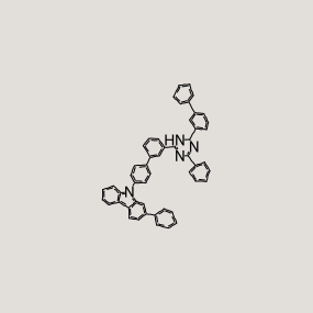 c1ccc(C2=NC(c3cccc(-c4ccccc4)c3)NC(c3cccc(-c4ccc(-n5c6ccccc6c6ccc(-c7ccccc7)cc65)cc4)c3)=N2)cc1